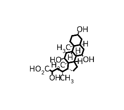 C[C@H](CC(O)C(=O)O)[C@H]1CC[C@H]2[C@@H]3[C@H](O)C[C@@H]4C[C@H](O)CC[C@]4(C)[C@H]3C[C@H](O)[C@]12C